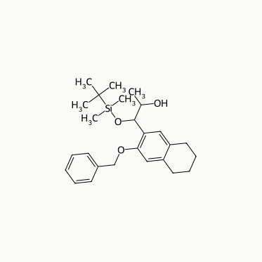 CC(O)C(O[Si](C)(C)C(C)(C)C)c1cc2c(cc1OCc1ccccc1)CCCC2